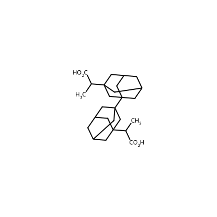 CC(C(=O)O)C12CC3CC(C1)CC(C14CC5CC(CC(C(C)C(=O)O)(C5)C1)C4)(C3)C2